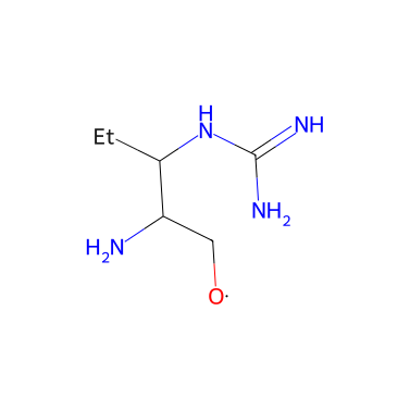 CCC(NC(=N)N)C(N)C[O]